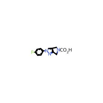 O=C(O)N1Cc2cn(-c3ccc(F)cc3)nc2C1